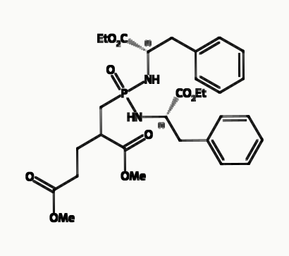 CCOC(=O)[C@H](Cc1ccccc1)NP(=O)(CC(CCC(=O)OC)C(=O)OC)N[C@@H](Cc1ccccc1)C(=O)OCC